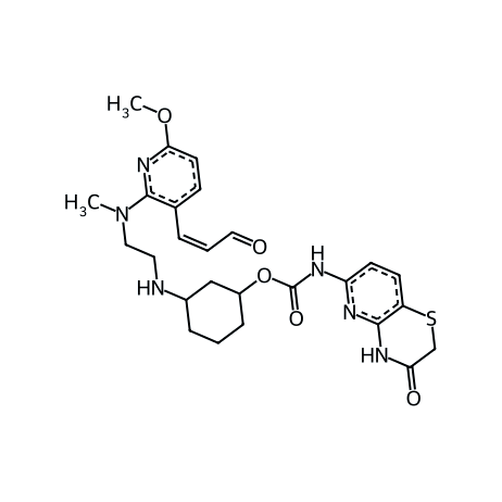 COc1ccc(/C=C\C=O)c(N(C)CCNC2CCCC(OC(=O)Nc3ccc4c(n3)NC(=O)CS4)C2)n1